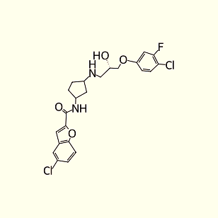 O=C(NC1CCC(NC[C@H](O)COc2ccc(Cl)c(F)c2)C1)c1cc2cc(Cl)ccc2o1